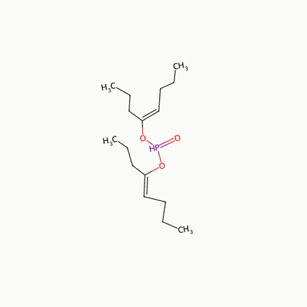 CCCC=C(CCC)O[PH](=O)OC(=CCCC)CCC